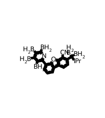 Bc1nc(-c2cccc3c2oc2c(C#N)c(C(B)(B)C(C)C)ccc23)c(B)c(B)c1B